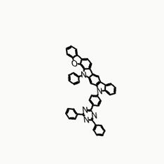 c1ccc(-c2nc(-c3ccccc3)nc(-c3ccc(-n4c5ccccc5c5cc6c7ccc8c9ccccc9oc8c7n(-c7ccccc7)c6cc54)cc3)n2)cc1